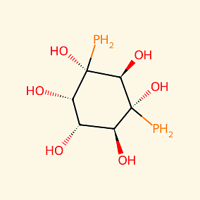 O[C@@H]1[C@H](O)[C@@](O)(P)[C@@H](O)[C@@](O)(P)[C@H]1O